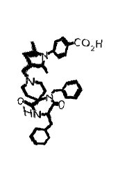 Cc1cc(CN2CCC3(CC2)C(=O)NC(CC2CCCCC2)C(=O)N3Cc2ccccc2)c(C)n1-c1ccc(C(=O)O)cc1